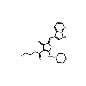 O=C(OCCO)C1=C(NN2CCOCC2)OC(=Cc2c[nH]c3ncccc23)C1=O